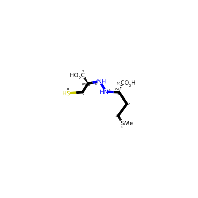 CSCC[C@H](NN[C@@H](CS)C(=O)O)C(=O)O